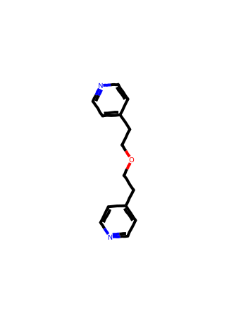 c1cc(CCOCCc2ccncc2)ccn1